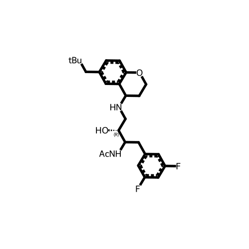 CC(=O)NC(Cc1cc(F)cc(F)c1)[C@H](O)CNC1CCOc2ccc(CC(C)(C)C)cc21